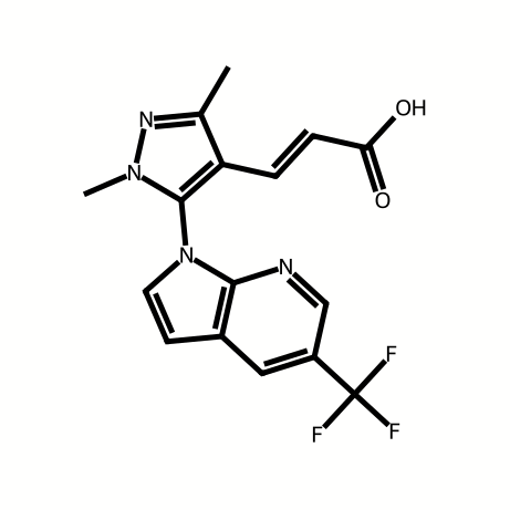 Cc1nn(C)c(-n2ccc3cc(C(F)(F)F)cnc32)c1/C=C/C(=O)O